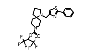 O=C(OC(C(F)(F)F)C(F)(F)F)N1CCC2(CCCN2Cc2csc(-c3ccccc3)n2)CC1